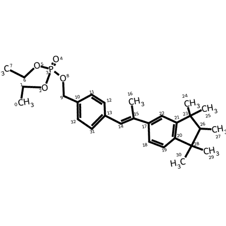 CCOP(=O)(OCC)OCc1ccc(C=C(C)c2ccc3c(c2)C(C)(C)C(C)C3(C)C)cc1